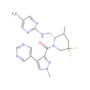 CC1CC(F)(F)CN(C(=O)c2nn(C)cc2-c2cncnc2)[C@@H]1CNc1ncc(C(F)(F)F)cn1